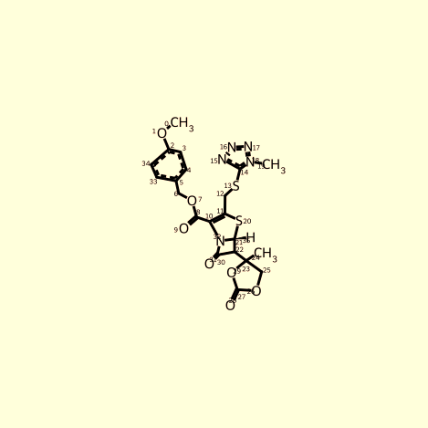 COc1ccc(COC(=O)C2=C(CSc3nnnn3C)S[C@@H]3C(C4(C)COC(=O)O4)C(=O)N23)cc1